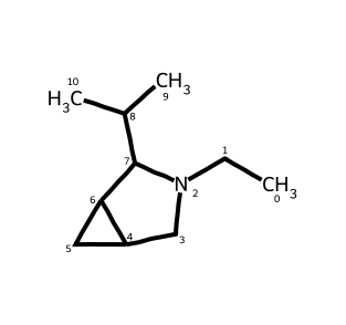 CCN1CC2CC2C1C(C)C